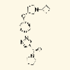 O=C(c1cnn(-c2ccc(OC3CCN(C4CCC4)C3)cc2)c1)N1CCCC1